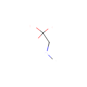 [CH2]CNCC(O)(O)O